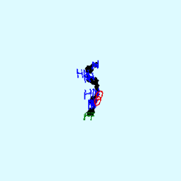 CN(C)Cc1ccc(Nc2ncc3cc(C=CCNC(=O)c4ccnn(Cc5ccc(F)c(F)c5)c4=O)ccc3n2)cc1